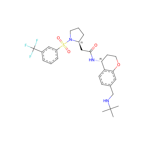 CC(C)(C)NCc1ccc2c(c1)OCC[C@H]2NC(=O)C[C@@H]1CCCN1S(=O)(=O)c1cccc(C(F)(F)F)c1